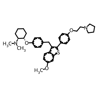 COc1ccc2c(Cc3ccc(O[C@H]4CCCC[C@@H]4N(C)C)cc3)c(-c3ccc(OCCN4CCCC4)cc3)sc2c1